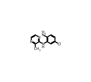 Cc1nccnc1Nc1cc(Cl)ccc1N